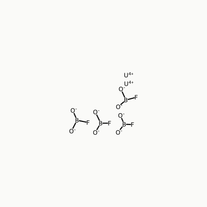 [O-]B([O-])F.[O-]B([O-])F.[O-]B([O-])F.[O-]B([O-])F.[U+4].[U+4]